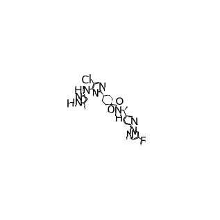 CO[C@]1(C(=O)N[C@@H](C)c2ccc(-n3cc(F)cn3)nc2)CC[C@H](c2ncc(Cl)c(Nc3cc(C)[nH]n3)n2)CC1